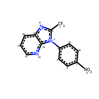 O=[N+]([O-])c1ccc(-n2c(C(F)(F)F)nc3cccnc32)cc1